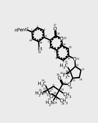 CCCCCc1ccc(-c2cc3ccc(OC4CCC(OC(=O)C(C)(CC(C)(C)N)C(C)(C)N)C4(C)C(F)(F)F)cc3oc2=O)c(CC)c1